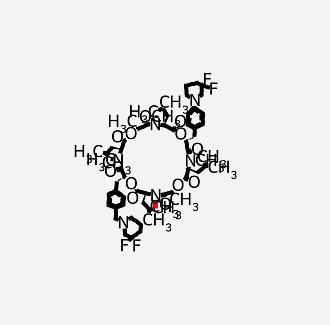 CC(C)C[C@H]1C(=O)O[C@H](Cc2ccc(N3CCCC(F)(F)C3)cc2)C(=O)N(C)[C@@H](CC(C)C)C(=O)O[C@H](C)C(=O)N(C)[C@@H](CC(C)C)C(=O)O[C@H](Cc2ccc(CN3CCCC(F)(F)C3)cc2)C(=O)N(C)[C@@H](CC(C)C)C(=O)O[C@H](C)C(=O)N1C